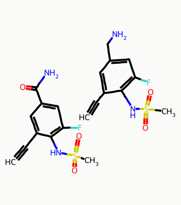 C#Cc1cc(C(N)=O)cc(F)c1NS(C)(=O)=O.C#Cc1cc(CN)cc(F)c1NS(C)(=O)=O